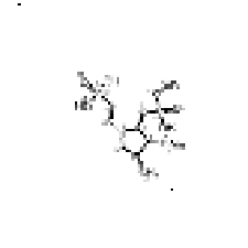 CO[C@@H]1[C@H](OP(O)(=S)OC(C)C)[C@@H](/C=C/P(=O)(O)O)C[C@@H]1C